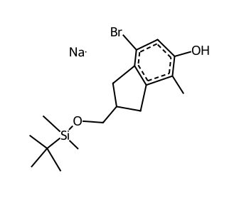 Cc1c(O)cc(Br)c2c1CC(CO[Si](C)(C)C(C)(C)C)C2.[Na]